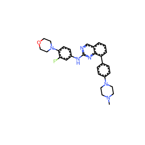 CN1CCN(c2ccc(-c3cccc4cnc(Nc5ccc(N6CCOCC6)c(F)c5)nc34)cc2)CC1